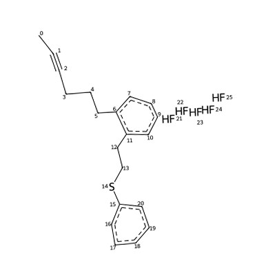 CC#CCCCc1ccccc1CCSc1ccccc1.F.F.F.F.F